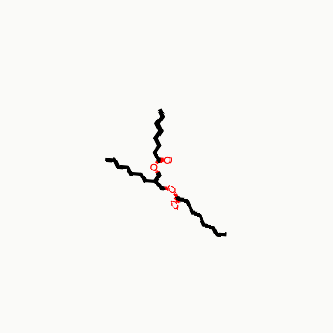 CCCCCCCC(=O)OCC(CCCCCCC)COC(=O)CCCCCCC